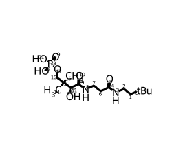 CC(C)(C)CCNC(=O)CCNC(=O)[C@@H](O)C(C)(C)COP(=O)(O)O